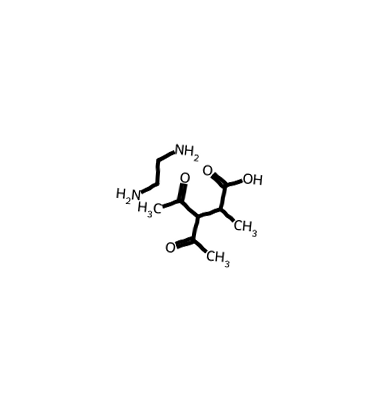 CC(=O)C(C(C)=O)C(C)C(=O)O.NCCN